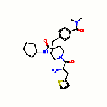 CN(C)C(=O)c1ccc(CC2(C(=O)NC3CCCCC3)CCN(C(=O)[C@@H](N)Cc3cccs3)CC2)cc1